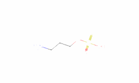 NCCCOS(=O)(O)=S